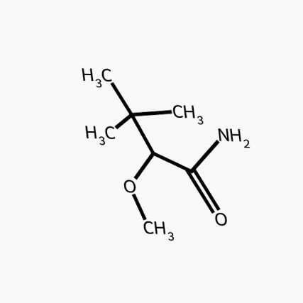 COC(C(N)=O)C(C)(C)C